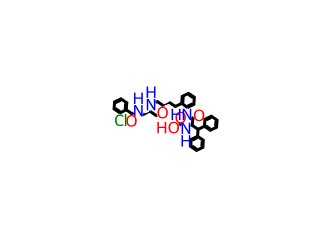 O=C(O)N[C@H](C(=O)Nc1ccccc1CC[C@@H]1CN[C@H](CNC(=O)c2ccccc2Cl)CO1)C(c1ccccc1)c1ccccc1